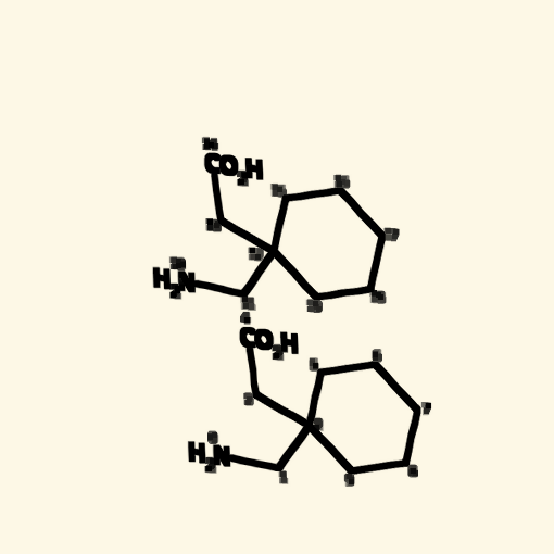 NCC1(CC(=O)O)CCCCC1.NCC1(CC(=O)O)CCCCC1